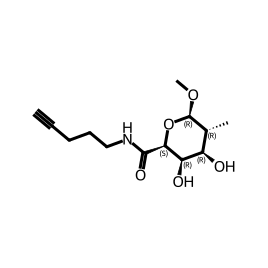 C#CCCCNC(=O)[C@H]1O[C@@H](OC)[C@H](C)[C@@H](O)[C@H]1O